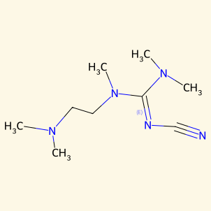 CN(C)CCN(C)/C(=N/C#N)N(C)C